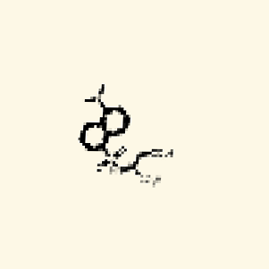 CN(C)c1cccc2c(S(=O)(=O)N[C@@H](CC(=O)O)C(=O)O)cccc12